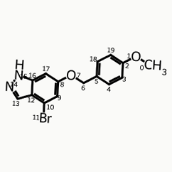 COc1ccc(COc2cc(Br)c3cn[nH]c3c2)cc1